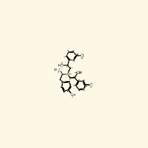 C[C@H](Cc1ccc(O)cc1)N(CC(O)c1cccc(Cl)c1)CC(O)c1cccc(Cl)c1